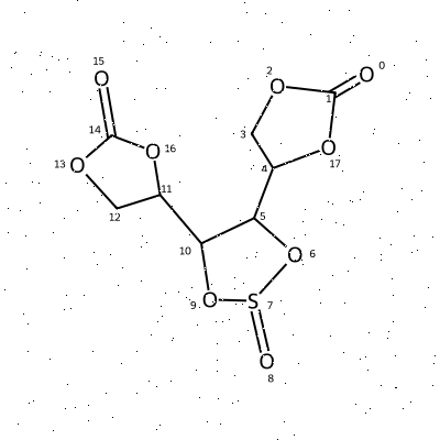 O=C1OCC(C2OS(=O)OC2C2COC(=O)O2)O1